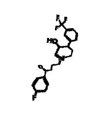 O=C(CCCN1CCC(c2cccc(C(F)(F)F)c2)C(O)C1)c1ccc(F)cc1